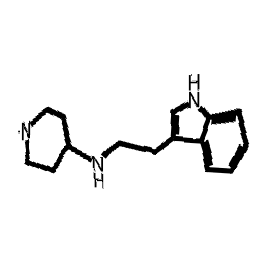 c1ccc2c(CCNC3CC[N]CC3)c[nH]c2c1